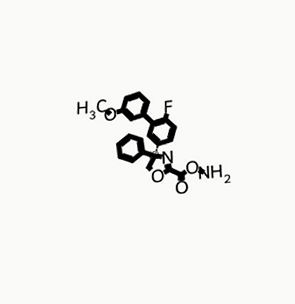 COc1cccc(-c2cc([C@@]3(c4ccccc4)COC(C(=O)ON)=N3)ccc2F)c1